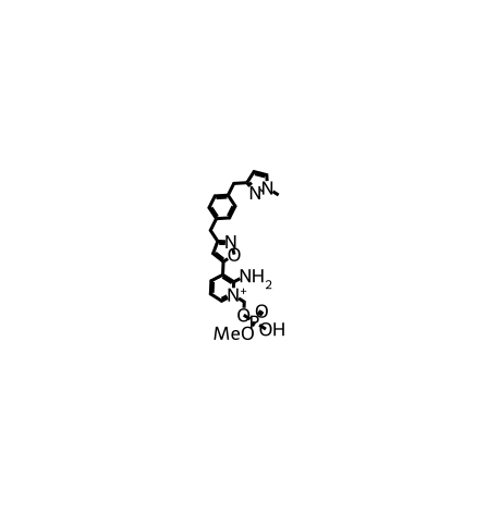 COP(=O)(O)OC[n+]1cccc(-c2cc(Cc3ccc(Cc4ccn(C)n4)cc3)no2)c1N